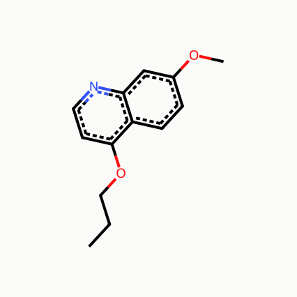 CCCOc1ccnc2cc(OC)ccc12